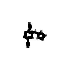 N#Cc1ccc(C#N)c(Oc2n[c]cs2)c1